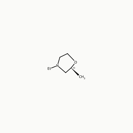 CCN1CCO[C@@H](C)C1